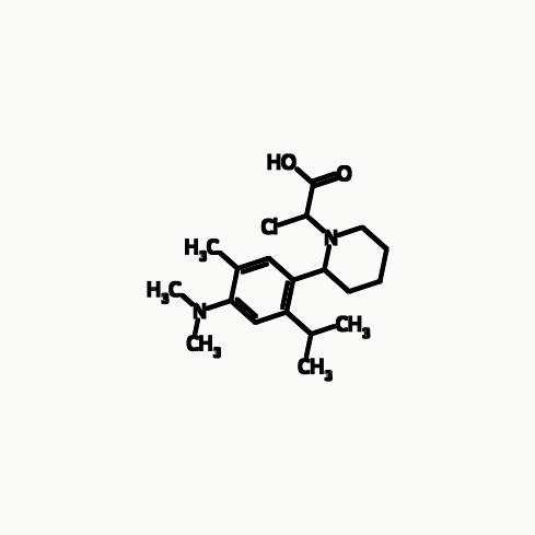 Cc1cc(C2CCCCN2C(Cl)C(=O)O)c(C(C)C)cc1N(C)C